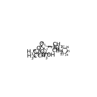 CC(C)(C#CC[C@]1(CC(=O)O)O[C@@H](C(C)(C)C)OC1=O)OCc1ccccc1